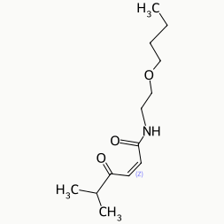 CCCCOCCNC(=O)/C=C\C(=O)C(C)C